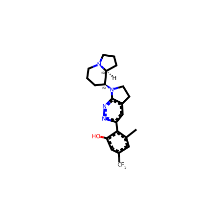 Cc1cc(C(F)(F)F)cc(O)c1-c1cc2c(nn1)N([C@H]1CCCN3CCC[C@@H]13)CC2